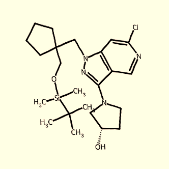 CC(C)(C)[Si](C)(C)OCC1(Cn2nc(N3CC[C@H](O)C3)c3cnc(Cl)cc32)CCCC1